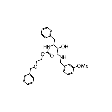 COc1cccc(CNC[C@H](O)[C@H](Cc2ccccc2)NC(=O)OCCOCc2ccccc2)c1